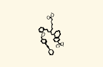 COC(=O)CCCC/C=C(\CCc1ccccc1OCc1ccc(C#CC2CCCCC2)cc1)CC1CCCc2cc(C(=O)OC)ccc21